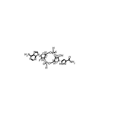 NC(=O)c1cc([C@@H]2O[C@@H]3COP(=O)(S)O[C@H]4[C@@H](F)[C@H](n5cnc6c(N)ncnc65)O[C@@H]4COP(=S)(S)O[C@H]3[C@H]2O)[nH]n1